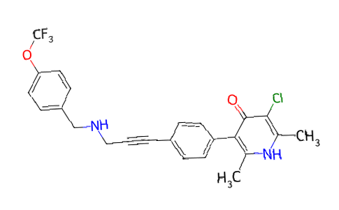 Cc1[nH]c(C)c(-c2ccc(C#CCNCc3ccc(OC(F)(F)F)cc3)cc2)c(=O)c1Cl